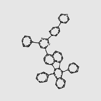 c1ccc(-c2cc(-c3ccc4c5c(cccc35)-c3c-4c(-c4ccccc4)c4ccccc4c3-c3ccccc3)nc(-c3ccc(-c4ccncc4)cc3)n2)cc1